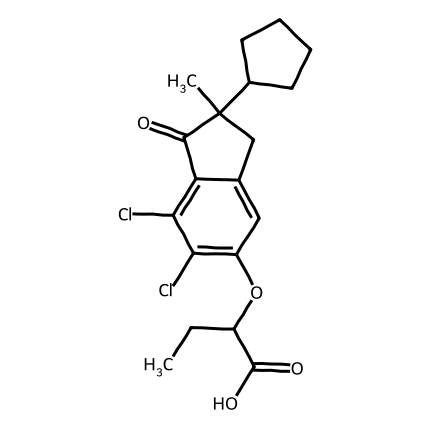 CCC(Oc1cc2c(c(Cl)c1Cl)C(=O)C(C)(C1CCCC1)C2)C(=O)O